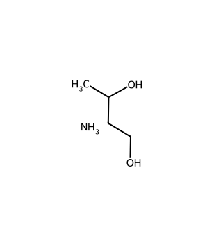 CC(O)CCO.N